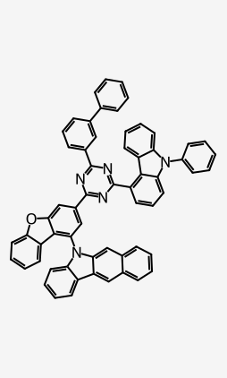 c1ccc(-c2cccc(-c3nc(-c4cc(-n5c6ccccc6c6cc7ccccc7cc65)c5c(c4)oc4ccccc45)nc(-c4cccc5c4c4ccccc4n5-c4ccccc4)n3)c2)cc1